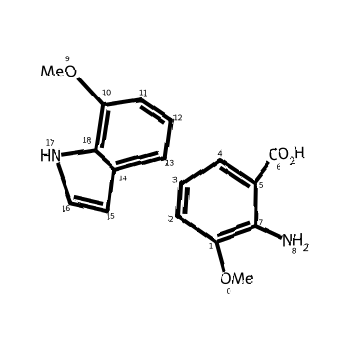 COc1cccc(C(=O)O)c1N.COc1cccc2cc[nH]c12